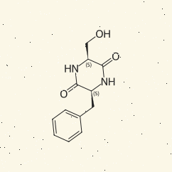 O=C1N[C@@H](Cc2ccccc2)C(=O)N[C@H]1CO